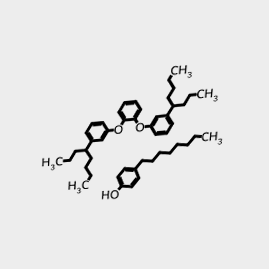 CCCCC(CCC)c1cccc(Oc2ccccc2Oc2cccc(C(CCC)CCCC)c2)c1.CCCCCCCCc1ccc(O)cc1